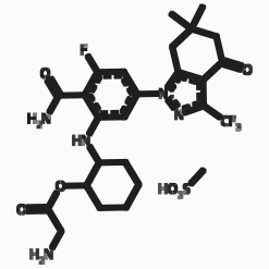 CC1(C)CC(=O)c2c(C(F)(F)F)nn(-c3cc(F)c(C(N)=O)c(NC4CCCCC4OC(=O)CN)c3)c2C1.CS(=O)(=O)O